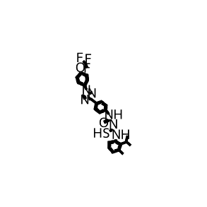 Cc1cccc(N/C(S)=N/C(=O)Nc2ccc(-c3ncn(-c4ccc(OC(F)(F)F)cc4)n3)cc2)c1C(C)C